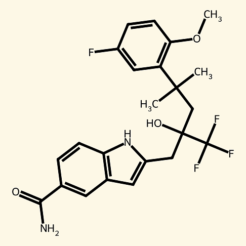 COc1ccc(F)cc1C(C)(C)CC(O)(Cc1cc2cc(C(N)=O)ccc2[nH]1)C(F)(F)F